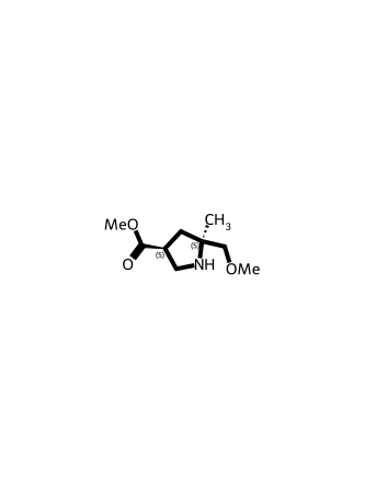 COC[C@]1(C)C[C@H](C(=O)OC)CN1